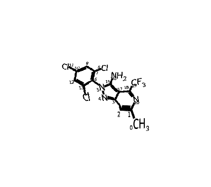 Cc1cc2nn(-c3c(Cl)cc(Cl)cc3Cl)c(N)c2c(C(F)(F)F)n1